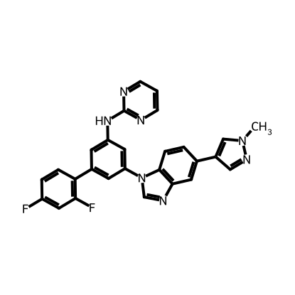 Cn1cc(-c2ccc3c(c2)ncn3-c2cc(Nc3ncccn3)cc(-c3ccc(F)cc3F)c2)cn1